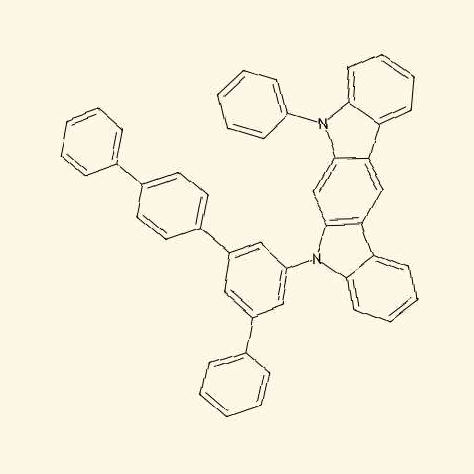 c1ccc(-c2ccc(-c3cc(-c4ccccc4)cc(-n4c5ccccc5c5cc6c7ccccc7n(-c7ccccc7)c6cc54)c3)cc2)cc1